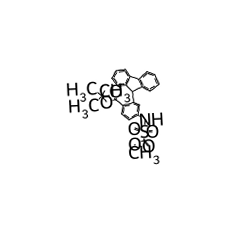 COC(=O)S(=O)(=O)Nc1ccc(C(=O)OC(C)(C)C)c(C2c3ccccc3-c3ccccc32)c1